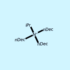 CCCCCCCCCC[N+](CCCCCCCCCC)(CCCCCCCCCC)C(C)C